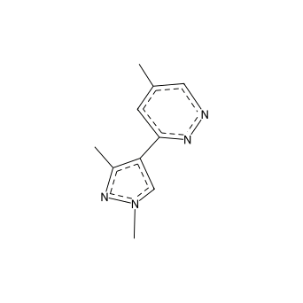 Cc1cnnc(-c2cn(C)nc2C)c1